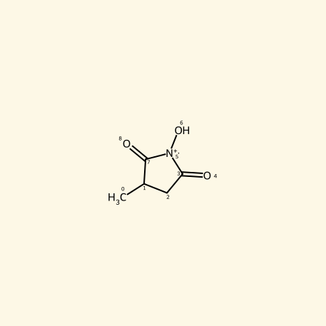 CC1CC(=O)[N+](O)C1=O